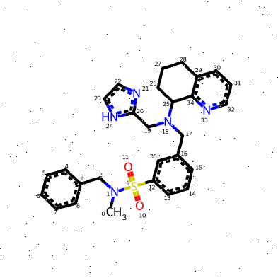 CN(Cc1ccccc1)S(=O)(=O)c1cccc(CN(Cc2ncc[nH]2)C2CCCc3cccnc32)c1